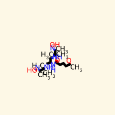 CC(=O)CCCC(=O)NC(CNC(C)(C)/C(C)=N/O)CNC(C)(C)/C(C)=N/O